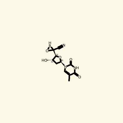 Cc1cn([C@H]2C[C@H](O)[C@@H](C3(C#N)BO3)O2)c(=O)[nH]c1=O